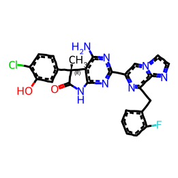 C[C@]1(c2ccc(Cl)c(O)c2)C(=O)Nc2nc(-c3cn4ccnc4c(Cc4ccccc4F)n3)nc(N)c21